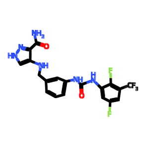 NC(=O)c1n[nH]cc1NCc1cccc(NC(=O)Nc2cc(F)cc(C(F)(F)F)c2F)c1